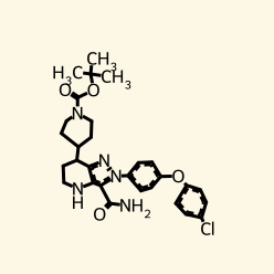 CC(C)(C)OC(=O)N1CCC(C2CCNc3c2nn(-c2ccc(Oc4ccc(Cl)cc4)cc2)c3C(N)=O)CC1